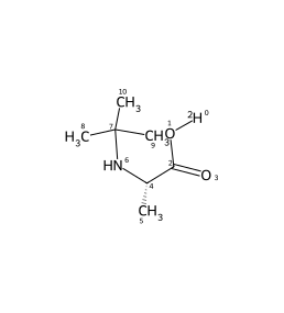 [2H]OC(=O)[C@H](C)NC(C)(C)C